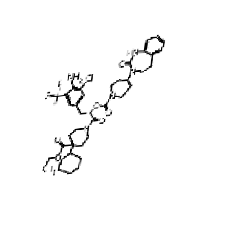 CCOC(=O)C1(C2CCCCC2)CCN(C(=O)[C@@H](Cc2cc(Cl)c(N)c(C(F)(F)F)c2)OC(=O)N2CCC(N3CCc4ccccc4NC3=O)CC2)CC1